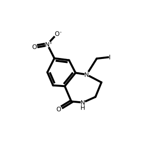 O=C1NCCN(CI)c2cc([N+](=O)[O-])ccc21